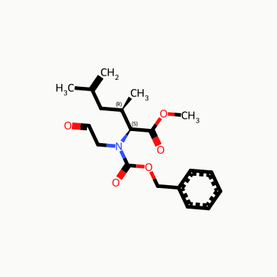 C=C(C)C[C@@H](C)[C@@H](C(=O)OC)N(CC=O)C(=O)OCc1ccccc1